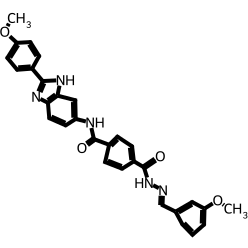 COc1ccc(-c2nc3ccc(NC(=O)c4ccc(C(=O)N/N=C/c5cccc(OC)c5)cc4)cc3[nH]2)cc1